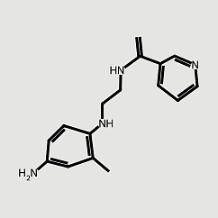 C=C(NCCNc1ccc(N)cc1C)c1cccnc1